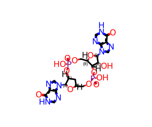 O=c1[nH]cnc2c1ncn2[C@@H]1O[C@@H]2COP(=O)(O)O[C@H]3C[C@H](COP(=O)(O)O[C@H]2[C@H]1O)O[C@H]3n1cnc2c(=O)[nH]cnc21